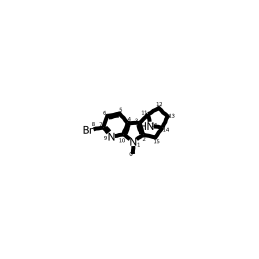 Cn1c2c(c3ccc(Br)nc31)C1CCC(C2)N1